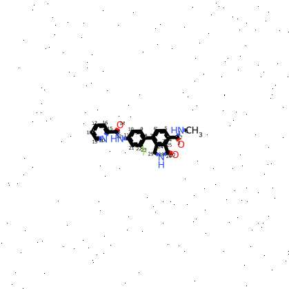 CNC(=O)c1ccc(-c2ccc(NC(=O)c3ccccn3)cc2F)c2c1C(=O)NC2